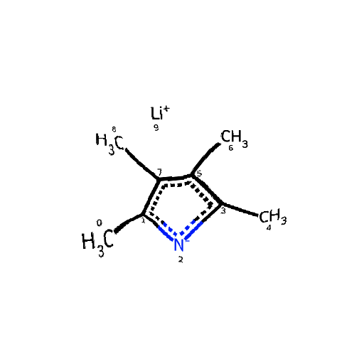 Cc1[n-]c(C)c(C)c1C.[Li+]